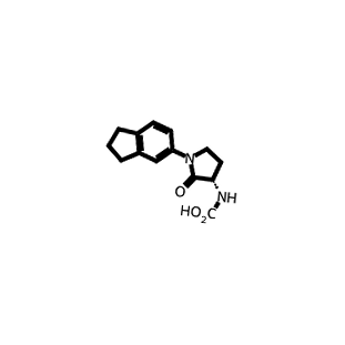 O=C(O)N[C@H]1CCN(c2ccc3c(c2)CCC3)C1=O